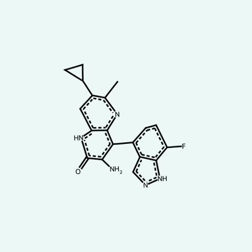 Cc1nc2c(-c3ccc(F)c4[nH]ncc34)c(N)c(=O)[nH]c2cc1C1CC1